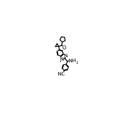 Cn1c(C(N)c2ccc(C#N)cc2)nc2cc(C3(C(=O)C4CCCC4)CC3)ccc21